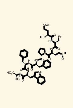 CC[C@H](C)[C@H](NC(=O)[C@H](Cc1c[nH]c2ccccc12)NC(=O)[C@H](Cc1ccccc1)NC(=O)[C@H](Cc1ccccc1)NC(=O)[C@@H]1CCCN1C(=O)[C@H](CC[S+](C)[O-])NC(=O)[C@H](CC(C)C)NC(=O)[C@@H](N)CCSC)C(=O)O